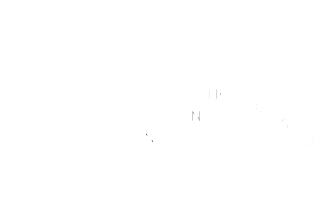 C=CC(c1cnc2nc(-c3ccc(F)cc3)ccc2c1)S(=O)(=O)Cc1ccccc1C(=O)O